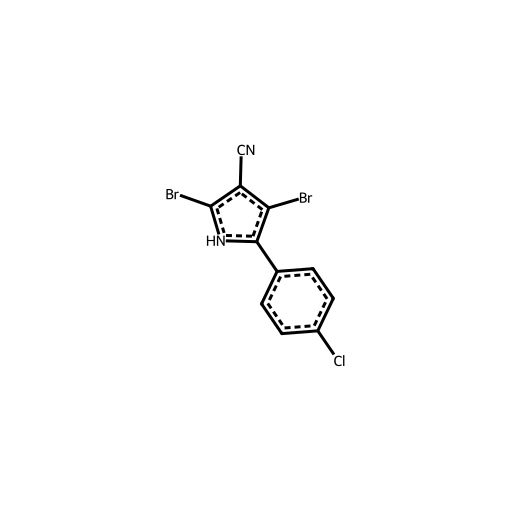 N#Cc1c(Br)[nH]c(-c2ccc(Cl)cc2)c1Br